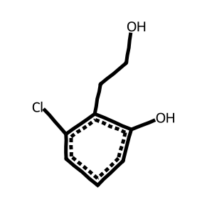 OCCc1c(O)cccc1Cl